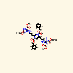 CC(C)(C)OC(=O)N=C(NCCCC1CN(C(=O)OCc2ccccc2)C(CCCN/C(=N\C(=O)OC(C)(C)C)NC(=O)OC(C)(C)C)CN1C(=O)OCc1ccccc1)NC(=O)OC(C)(C)C